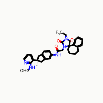 C[C@]1(c2cccnc2NC=O)Cc2ccc(NC(=O)CN3C(=O)N(CC(F)(F)F)C(=O)C34CCCCc3ccccc34)cc2C1